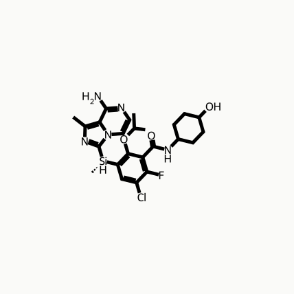 Cc1nc([Si@@H](C)c2cc(Cl)c(F)c(C(=O)NC3CCC(O)CC3)c2OC(C)C)n2ccnc(N)c12